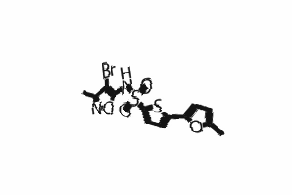 Cc1ccc(-c2ccc(S(=O)(=O)Nc3onc(C)c3Br)s2)o1